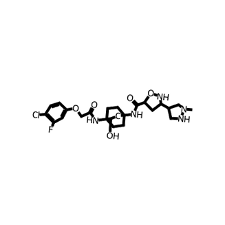 CN1CC(C2CC(C(=O)NC34CCC(NC(=O)COc5ccc(Cl)c(F)c5)(CC3)C(O)C4)ON2)CN1